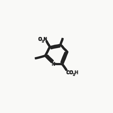 Cc1cc(C(=O)O)nc(C)c1[N+](=O)[O-]